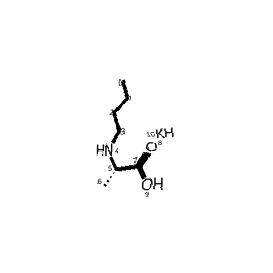 CCCCN[C@@H](C)C(=O)O.[KH]